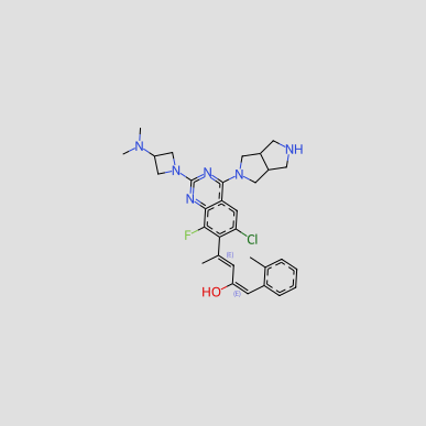 C/C(=C\C(O)=C/c1ccccc1C)c1c(Cl)cc2c(N3CC4CNCC4C3)nc(N3CC(N(C)C)C3)nc2c1F